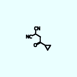 N#CC(C#N)CC(=O)C1CC1